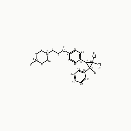 CN1CCN(CCOc2ccc(C3C(Cl)(Cl)C3(C)c3ccccc3)cc2)CC1